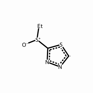 CC[S+]([O-])c1nn[c]s1